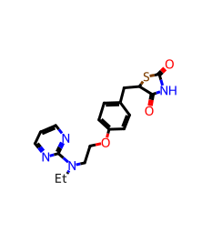 CCN(CCOc1ccc(CC2SC(=O)NC2=O)cc1)c1ncccn1